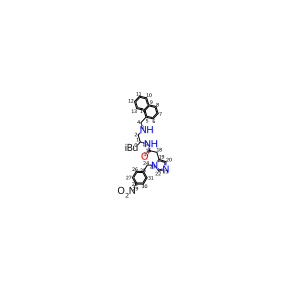 CCC(C)C(CNCc1cccc2ccccc12)NC(=O)Cc1cncn1Cc1ccc([N+](=O)[O-])cc1